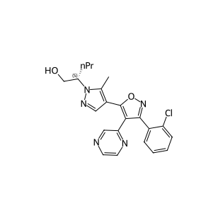 CCC[C@@H](CO)n1ncc(-c2onc(-c3ccccc3Cl)c2-c2cnccn2)c1C